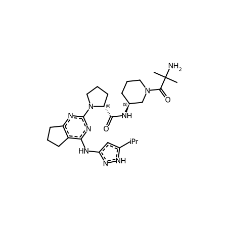 CC(C)c1cc(Nc2nc(N3CCC[C@@H]3C(=O)N[C@H]3CCCN(C(=O)C(C)(C)N)C3)nc3c2CCC3)n[nH]1